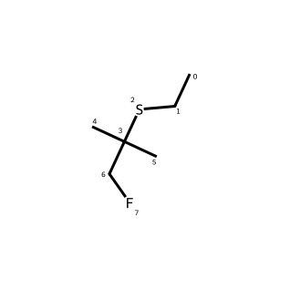 CCSC(C)(C)CF